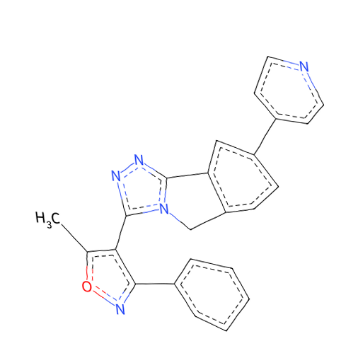 Cc1onc(-c2ccccc2)c1-c1nnc2n1Cc1ccc(-c3ccncc3)cc1-2